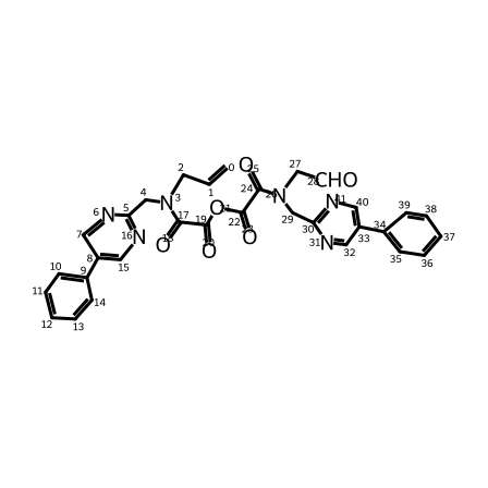 C=CCN(Cc1ncc(-c2ccccc2)cn1)C(=O)C(=O)OC(=O)C(=O)N(CC=O)Cc1ncc(-c2ccccc2)cn1